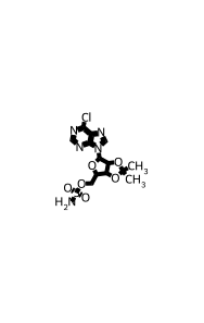 CC1(C)OC2C(COS(N)(=O)=O)OC(n3cnc4c(Cl)ncnc43)C2O1